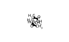 C=C.C=C(C)C(=O)O.CC1CO1